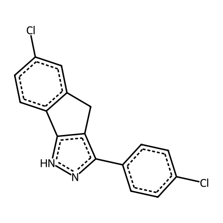 Clc1ccc(-c2n[nH]c3c2Cc2cc(Cl)ccc2-3)cc1